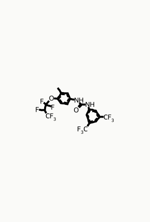 Cc1cc(NC(=O)Nc2cc(C(F)(F)F)cc(C(F)(F)F)c2)ccc1OC(F)(F)C(F)C(F)(F)F